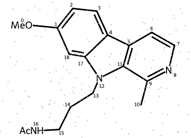 COc1ccc2c3ccnc(C)c3n(CCCNC(C)=O)c2c1